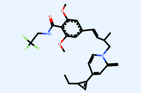 C=C1C=C(C2=CC2CC)C=CN1CC(C)/C=C/c1cc(OC)c(C(=O)NCC(F)(F)F)c(OC)c1